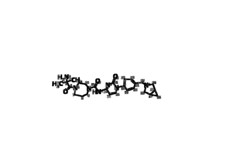 CC(C)(N)C(=O)N1CCCN(C(=O)Nc2ccn(-c3ccc(CN4CC5CC5C4)cc3)c(=O)n2)CC1